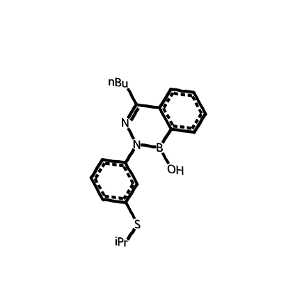 CCCCC1=NN(c2cccc(SC(C)C)c2)B(O)c2ccccc21